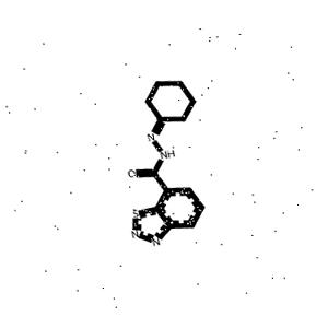 O=C(NN=C1CCCCC1)c1cccc2nnsc12